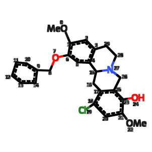 COc1cc2c(cc1OCc1ccccc1)C1Cc3c(Cl)cc(OC)c(O)c3CN1CC2